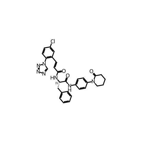 O=C(C=Cc1cc(Cl)ccc1-n1cnnn1)N[C@@H](Cc1ccccc1)C(=O)Nc1ccc(N2CCCCC2=O)cc1